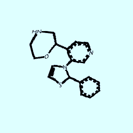 C1=CN(c2cnccc2C2CNCCO2)C(c2ccccc2)S1